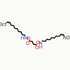 CCCCCCCC/C=C\CCCCCCCCNOC(=O)CCC(=O)ONCCCCCCCC/C=C\CCCCCCCC